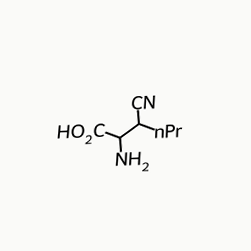 CCCC(C#N)C(N)C(=O)O